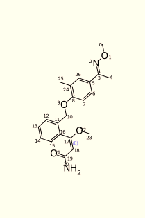 CON=C(C)c1ccc(OCc2ccccc2/C(=C\C(N)=O)OC)c(C)c1